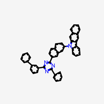 c1ccc(-c2cccc(-c3nc(-c4ccccc4)nc(-c4ccc5ccc(-n6c7ccccc7c7cc8ccccc8cc76)cc5c4)n3)c2)cc1